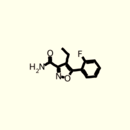 CCc1c(C(N)=O)noc1-c1ccccc1F